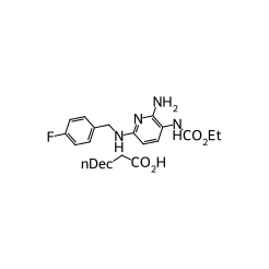 CCCCCCCCCCCC(=O)O.CCOC(=O)Nc1ccc(NCc2ccc(F)cc2)nc1N